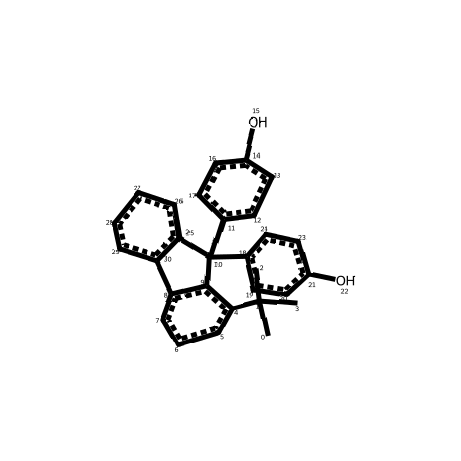 CC(C)(C)c1cccc2c1C(c1ccc(O)cc1)(c1ccc(O)cc1)c1ccccc1-2